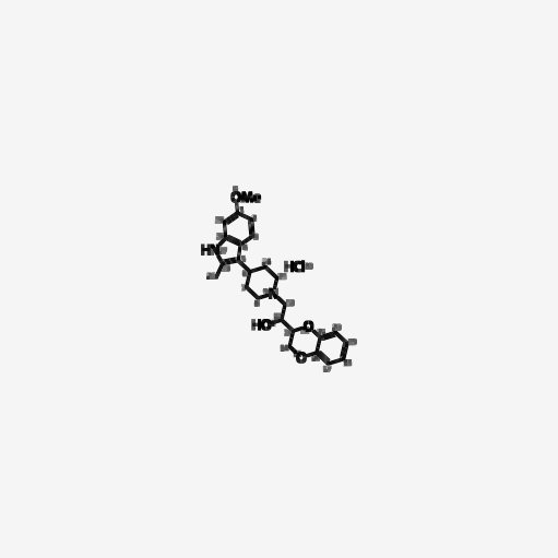 COc1ccc2c(C3CCN(CC(O)C4COc5ccccc5O4)CC3)c(C)[nH]c2c1.Cl